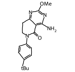 COc1nc(N)c2c(n1)CCN(c1ccc(C(C)(C)C)cc1)C2=O